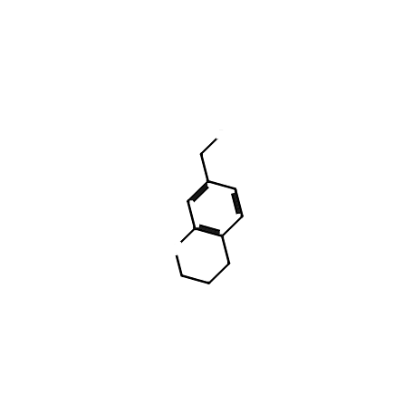 FCc1ccc2c(c1)OCCC2